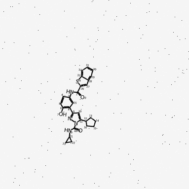 O=C(Nc1ccc(O)c(-c2cc(C3CCCC3)n(C(=O)NC3CC3)n2)c1)c1cc2ccccc2s1